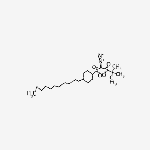 CCCCCCCCCCCC1CCC(S(=O)(=O)C(=[N+]=[N-])S(=O)(=O)C(C)(C)C)CC1